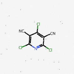 N#Cc1c(Cl)nc(Cl)c(C#N)c1Cl